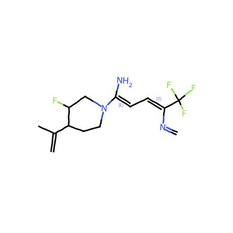 C=N/C(=C\C=C(/N)N1CCC(C(=C)C)C(F)C1)C(F)(F)F